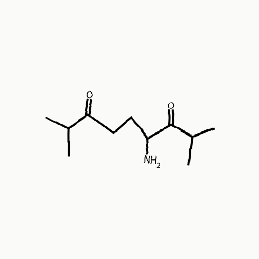 CC(C)C(=O)CCC(N)C(=O)C(C)C